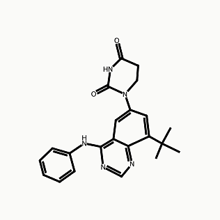 CC(C)(C)c1cc(N2CCC(=O)NC2=O)cc2c(Nc3ccccc3)ncnc12